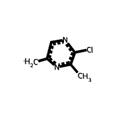 [CH2]c1cnc(Cl)c(C)n1